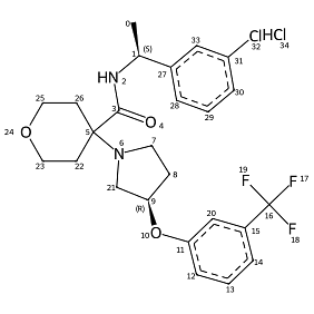 C[C@H](NC(=O)C1(N2CC[C@@H](Oc3cccc(C(F)(F)F)c3)C2)CCOCC1)c1cccc(Cl)c1.Cl